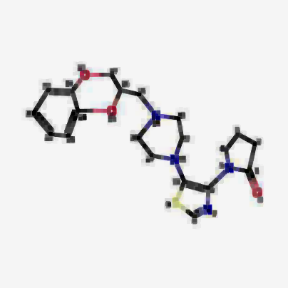 O=C1CCCN1c1ncsc1N1CCN(CC2COc3ccccc3O2)CC1